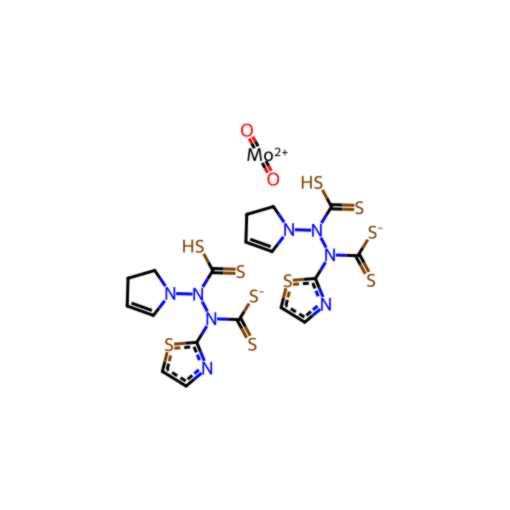 S=C([S-])N(c1nccs1)N(C(=S)S)N1C=CCC1.S=C([S-])N(c1nccs1)N(C(=S)S)N1C=CCC1.[O]=[Mo+2]=[O]